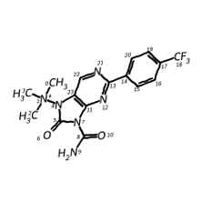 C[N+](C)(C)n1c(=O)n(C(N)=O)c2nc(-c3ccc(C(F)(F)F)cc3)ncc21